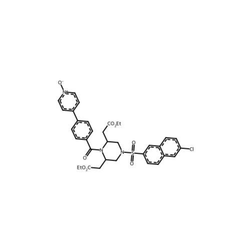 CCOC(=O)CC1CN(S(=O)(=O)c2ccc3cc(Cl)ccc3c2)CC(CC(=O)OCC)N1C(=O)c1ccc(-c2cc[n+]([O-])cc2)cc1